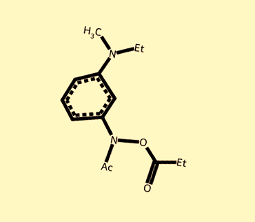 CCC(=O)ON(C(C)=O)c1cccc(N(C)CC)c1